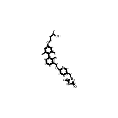 Cc1cc(OCC[C@@H](C)O)cc(C)c1-c1cccc(COc2ccc(Cn3oc(=O)[nH]c3=O)cn2)c1C